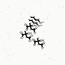 CC(O)(CC(=O)[O-])C(=O)[O-].CC(O)(CC(=O)[O-])C(=O)[O-].CC(O)(CC(=O)[O-])C(=O)[O-].CCC[CH2][Sn+3].CCC[CH2][Sn+3]